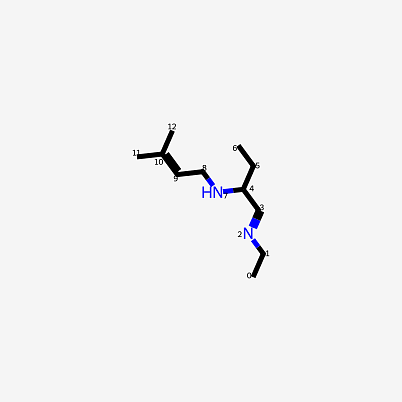 CC/N=C/C(CC)NCC=C(C)C